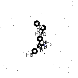 C=Nn1c(/C(N)=N\C)c(-c2ccc(NC(=O)c3cccn(-c4ccccc4)c3=O)cc2)cc1[C@H]1CC[C@H](O)CC1